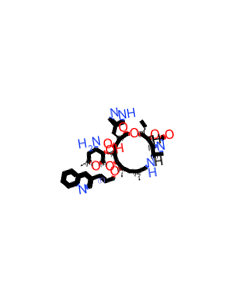 CC[C@H]1OC(=O)[C@H](Cc2cn[nH]c2)C(=O)[C@H](C)C(O[C@@H]2O[C@H](C)CC(N)C2O)[C@](C)(OC/C=C/c2cnc3ccccc3c2)C[C@@H](C)CN[C@@H]2CN3C(=O)O[C@@]1(C)[C@@H]23